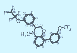 CN1c2cccc(-c3cccc(OC(F)(F)F)c3)c2OCC1c1cccc(OC(F)(F)C(F)F)c1